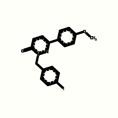 COc1ccc(-c2ccc(=O)n(Cc3ccc(I)cc3)n2)cc1